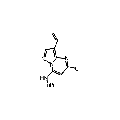 C=Cc1cnn2c(NCCC)cc(Cl)nc12